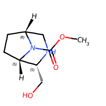 COC(=O)N1[C@@H]2CC[C@H]1[C@@H](CO)NC2